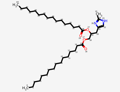 CCCCCCCCCCCCCCCC(=O)OCC(Cc1c[nH]c(C)n1)OC(=O)CCCCCCCCCCCCCCC